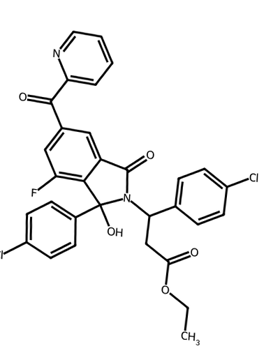 CCOC(=O)CC(c1ccc(Cl)cc1)N1C(=O)c2cc(C(=O)c3ccccn3)cc(F)c2C1(O)c1ccc(Cl)cc1